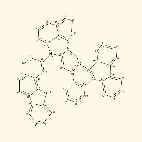 c1ccc(-c2c(-c3ccc(N(c4ccc5ccc6c7ccccc7sc6c5c4)c4cccc5ccccc45)cc3)c3ccccc3c3ccccc23)cc1